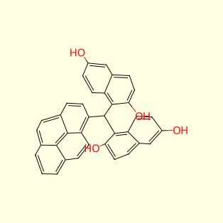 Oc1ccc2c(C(c3c(O)ccc4cc(O)ccc34)c3ccc4ccc5cccc6ccc3c4c56)c(O)ccc2c1